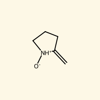 C=C1CCC[NH+]1[O-]